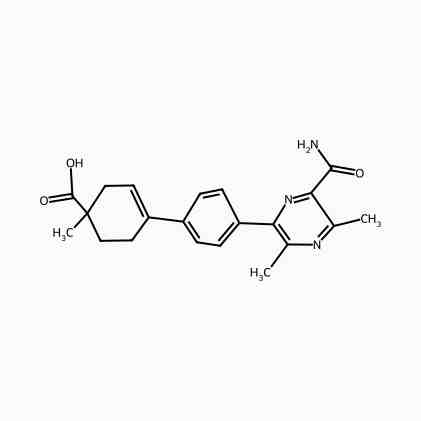 Cc1nc(C)c(-c2ccc(C3=CCC(C)(C(=O)O)CC3)cc2)nc1C(N)=O